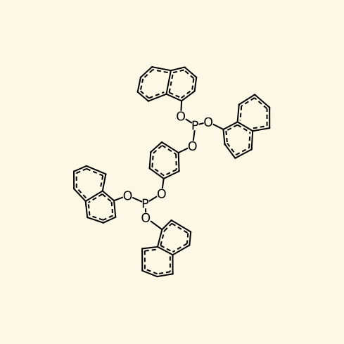 c1cc(OP(Oc2cccc3ccccc23)Oc2cccc3ccccc23)cc(OP(Oc2cccc3ccccc23)Oc2cccc3ccccc23)c1